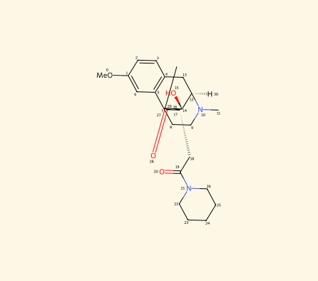 COc1ccc2c(c1)C13CCN(C)[C@H](C2)[C@]1(O)C[C@H](CC(=O)N1CCCCC1)C(=O)C3